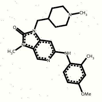 COc1ccc(Nc2cc3c(cn2)n(C)c(=O)n3CC2CCN(C)CC2)c(C)c1